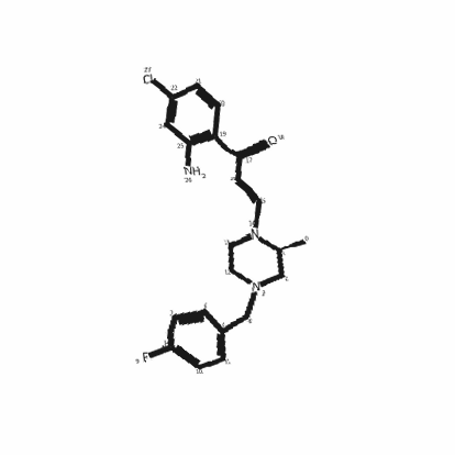 C[C@H]1CN(Cc2ccc(F)cc2)CCN1/C=C/C(=O)c1ccc(Cl)cc1N